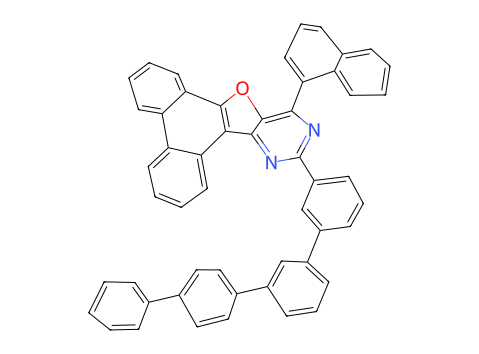 c1ccc(-c2ccc(-c3cccc(-c4cccc(-c5nc(-c6cccc7ccccc67)c6oc7c8ccccc8c8ccccc8c7c6n5)c4)c3)cc2)cc1